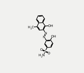 Cc1cc(/N=N/c2cc(S(N)(=O)=O)ccc2O)c(O)c2ccccc12